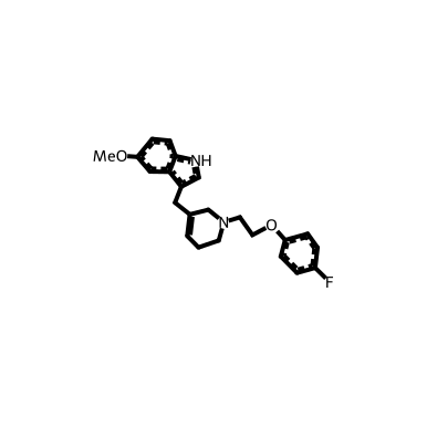 COc1ccc2[nH]cc(CC3=CCCN(CCOc4ccc(F)cc4)C3)c2c1